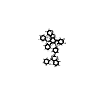 c1ccc(-c2nc(-c3ccc(-n4c5ccccc5c5c6sc7ncccc7c6c6c(c7ccccc7n6-c6ccccc6)c54)cc3)nc3ccccc23)cc1